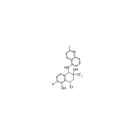 CCC1CC(O)(C(F)(F)F)C(Nc2cccc3nc(C)ccc23)c2ccc(F)c(O)c21